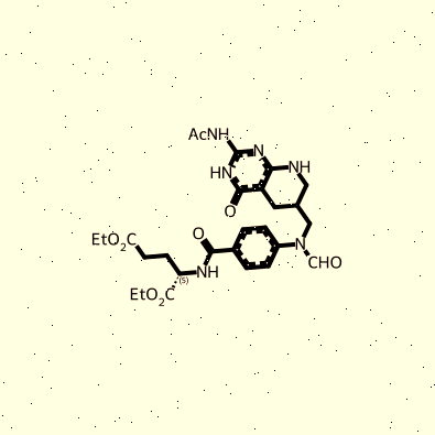 CCOC(=O)CC[C@H](NC(=O)c1ccc(N(C=O)CC2CNc3nc(NC(C)=O)[nH]c(=O)c3C2)cc1)C(=O)OCC